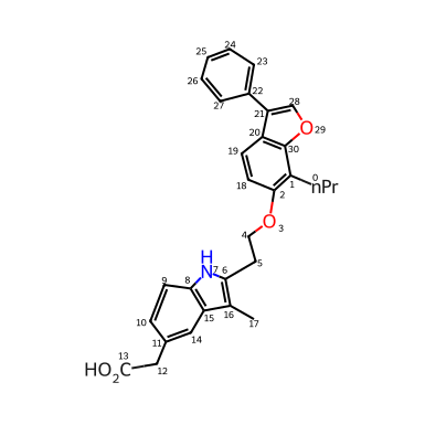 CCCc1c(OCCc2[nH]c3ccc(CC(=O)O)cc3c2C)ccc2c(-c3ccccc3)coc12